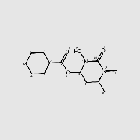 CC1CC(OC(=O)C2CCCCC2)N(O)C(=O)N1C